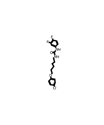 O=C(NCCCCCCOc1ccc(Cl)cc1)Nc1ccc(F)c(F)c1